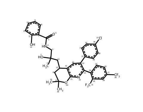 CC(O)(CNC(=O)c1ccccc1O)CC1CC(C)(C)Oc2nc(-c3ccc(C(F)(F)F)cc3C(F)(F)F)c(-c3ccc(Cl)cc3)cc21